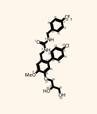 COc1cc(CNC(=O)NCc2ccc(C(F)(F)F)cc2)c(-c2ccc(Cl)cc2)cc1OCC(O)CO